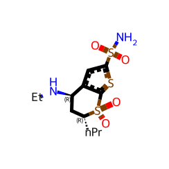 CCC[C@@H]1C[C@@H](NCC)c2cc(S(N)(=O)=O)sc2S1(=O)=O